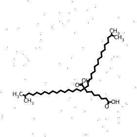 CC(C)CCCCCCCCCCCCCCC(CCCCCCCCCCCCCCC(C)C)(CCCCCCC(=O)O)C(=O)O